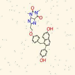 CN1C(=O)C2N=C(CCOc3ccc(Cc4c(-c5ccc(O)cc5)ccc5cc(O)ccc45)cc3)N=C2N(C)C1=O